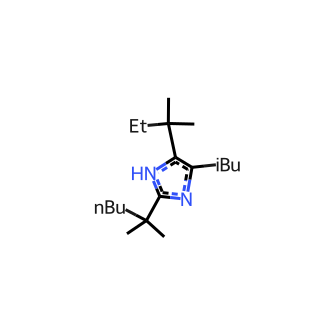 CCCCC(C)(C)c1nc(C(C)CC)c(C(C)(C)CC)[nH]1